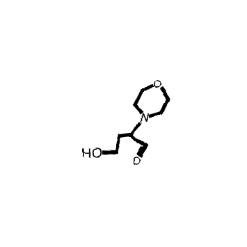 O=CC(CCO)N1CCOCC1